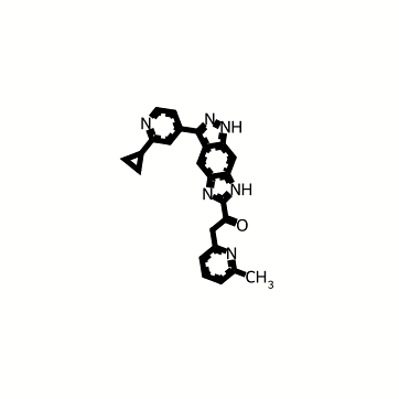 Cc1cccc(CC(=O)c2nc3cc4c(-c5ccnc(C6CC6)c5)n[nH]c4cc3[nH]2)n1